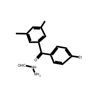 CCc1ccc(C(=O)c2cc(C)cc(C)c2)cc1.NNC=O